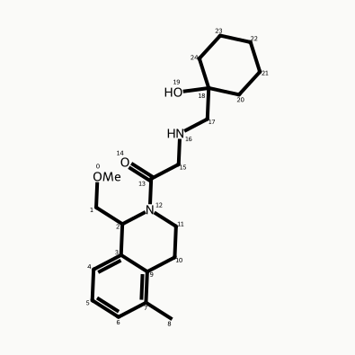 COCC1c2cccc(C)c2CCN1C(=O)CNCC1(O)CCCCC1